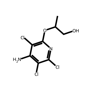 CC(CO)Oc1nc(Cl)c(Cl)c(N)c1Cl